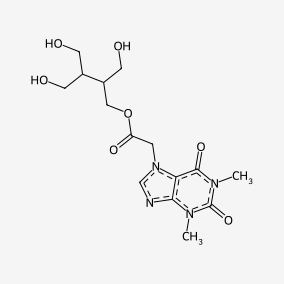 Cn1c(=O)c2c(ncn2CC(=O)OCC(CO)C(CO)CO)n(C)c1=O